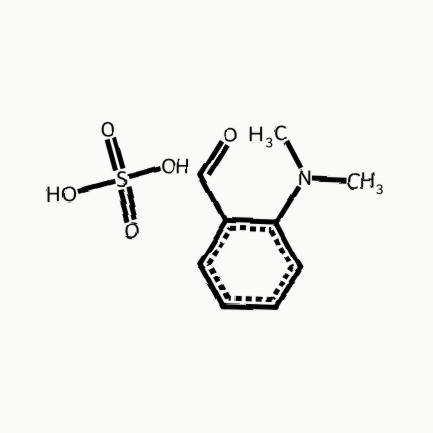 CN(C)c1ccccc1C=O.O=S(=O)(O)O